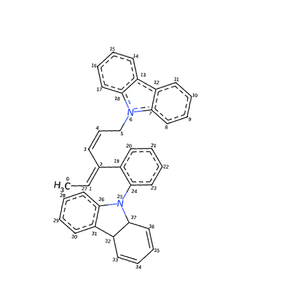 C/C=C(\C=C/Cn1c2ccccc2c2ccccc21)c1ccccc1N1c2ccccc2C2C=CC=CC21